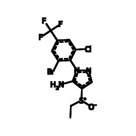 CC[S+]([O-])c1cnn(-c2c(Cl)cc(C(F)(F)F)cc2Br)c1N